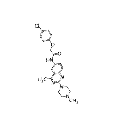 Cc1nc(N2CCN(C)CC2)nc2ccc(NC(=O)COc3ccc(Cl)cc3)cc12